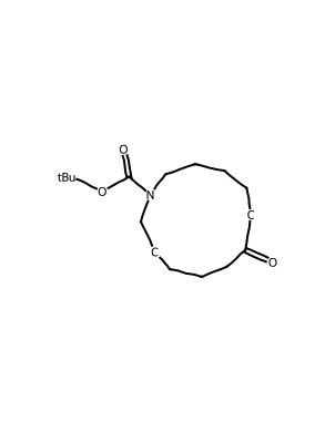 CC(C)(C)OC(=O)N1CCCCCC(=O)CCCCC1